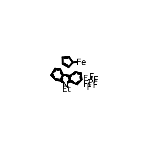 CCn1c2ccccc2c2ccccc21.F[P-](F)(F)(F)(F)F.[Fe][CH]1C=CC=C1